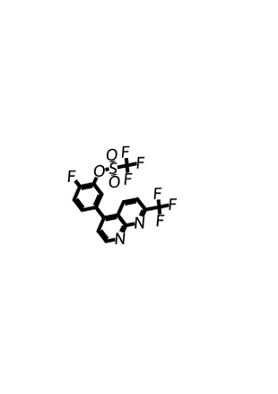 O=S(=O)(Oc1cc(-c2ccnc3nc(C(F)(F)F)ccc23)ccc1F)C(F)(F)F